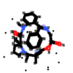 C/C1=C\OC(=O)C/N=C(\c2ccccc2)c2ccccc2N(C)C(=O)[C@H]2CCCN2C1C